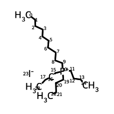 CCCCCCCCCC[P+](CCCC)(CCCC)CCCC.[I-]